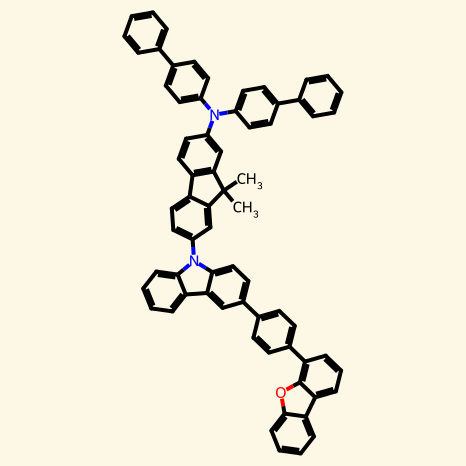 CC1(C)c2cc(N(c3ccc(-c4ccccc4)cc3)c3ccc(-c4ccccc4)cc3)ccc2-c2ccc(-n3c4ccccc4c4cc(-c5ccc(-c6cccc7c6oc6ccccc67)cc5)ccc43)cc21